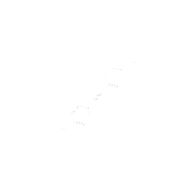 CCCCCCC1CC=C(C#Cc2ccc(OCC)cc2)CC1